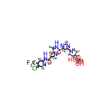 C[C@@H](NC(=O)c1cc(N2CCC(OP(=O)(O)O)CC2)ncn1)c1ncc(C(=O)Nc2cc(C(F)(F)F)c(Cl)cn2)s1